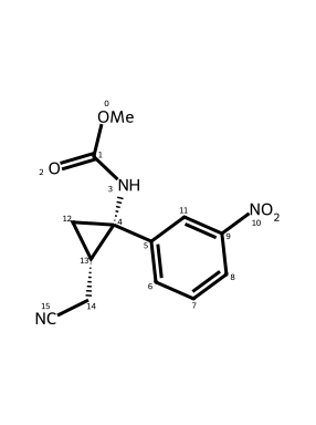 COC(=O)N[C@@]1(c2cccc([N+](=O)[O-])c2)C[C@H]1CC#N